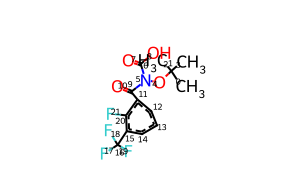 CC(C)(C)ON(C(=O)O)C(=O)c1cccc(C(F)(F)F)c1F